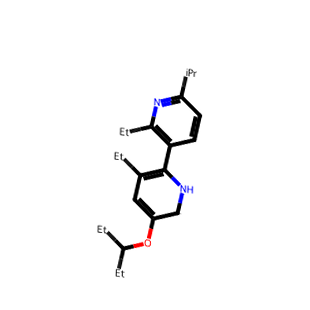 CCC1=C(c2ccc(C(C)C)nc2CC)N[CH]C(OC(CC)CC)=C1